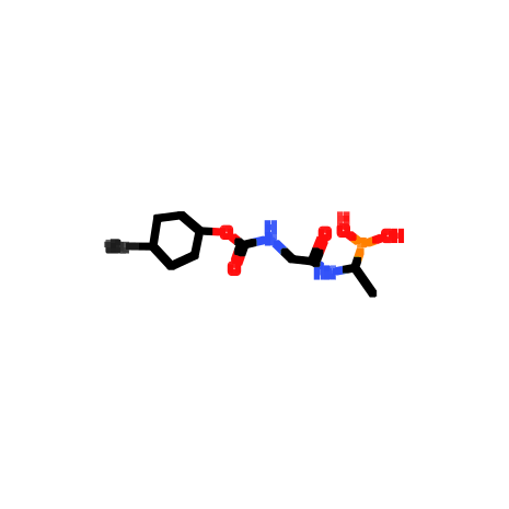 CC(NC(=O)CNC(=O)OC1CCC(C(C)(C)C)CC1)P(O)O